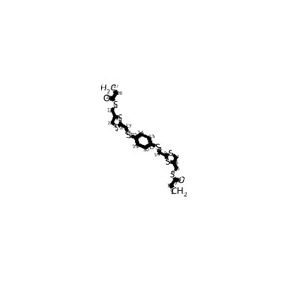 C=CC(=O)SCC1CSC(CSC2CCC(SCC3SCC(CSC(=O)C=C)S3)CC2)S1